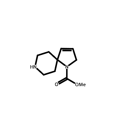 COC(=O)N1CC=CC12CCNCC2